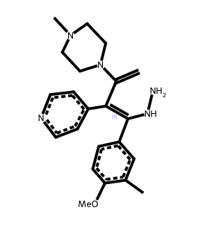 C=C(/C(=C(\NN)c1ccc(OC)c(C)c1)c1ccncc1)N1CCN(C)CC1